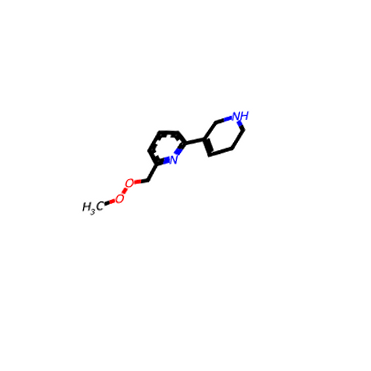 COOCc1cccc(C2=CCCNC2)n1